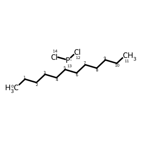 CCCCCCCCCCCC.Cl[P]Cl